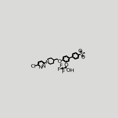 CS(=O)(=O)c1ccc(-c2ccc(OCC3CCN(c4ccc(Cl)nn4)CC3)cc2)cc1.O=C(O)C(F)(F)F